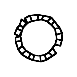 C1C2C3CC4C3C3C4C4C3C3C4C4C3C3C4C4C3C3C4C4C5CC6C7CC8C9C%10C%11C%12C%13C%14C%15C%16C1C2C%16C%15C%14C%13C%12C%11C%10C9C87C56C34